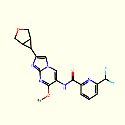 CC(C)Oc1nc2nc(C3C4COCC43)cn2cc1NC(=O)c1cccc(C(F)F)n1